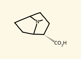 CN1C2CCC1[C@@H](C(=O)O)CC2